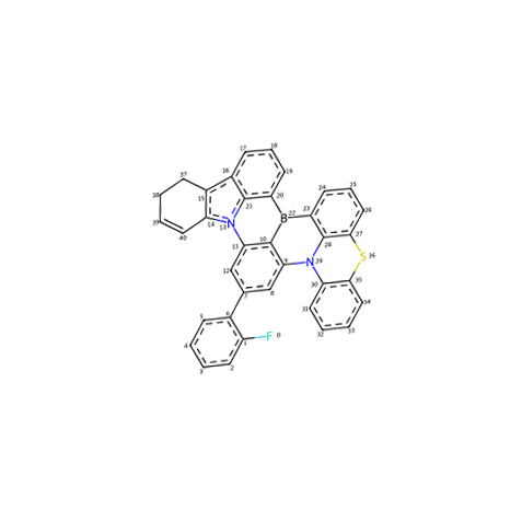 Fc1ccccc1-c1cc2c3c(c1)-n1c4c(c5cccc(c51)B3c1cccc3c1N2c1ccccc1S3)CCC=C4